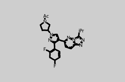 CC(=O)N1CCC(n2cc(-c3ccc4nnc(C(C)C)n4n3)c(C3=C(F)CC(F)C=C3)n2)C1